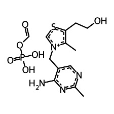 Cc1ncc(C[n+]2csc(CCO)c2C)c(N)n1.O=COP(=O)(O)O